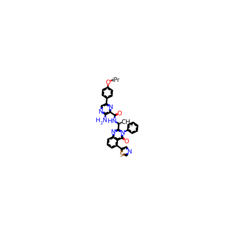 CC(C)Oc1ccc(-c2cnc(N)c(C(=O)N[C@@H](C)c3nc4cccc(-c5cncs5)c4c(=O)n3-c3ccccc3)n2)cc1